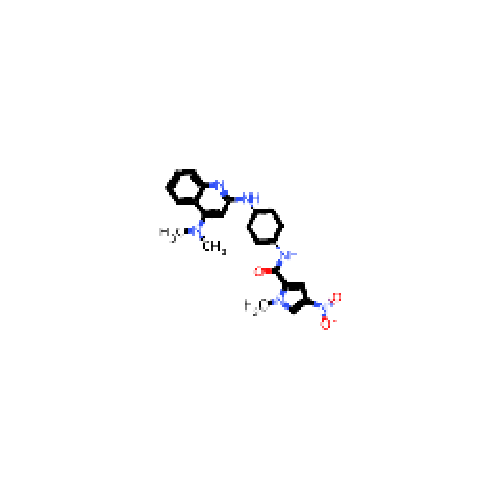 CN(C)c1cc(N[C@H]2CC[C@@H](NC(=O)c3cc([N+](=O)[O-])cn3C)CC2)nc2ccccc12